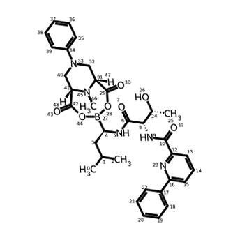 CC(C)C[C@H](NC(=O)[C@@H](NC(=O)c1cccc(-c2ccccc2)n1)[C@@H](C)O)B1OC(=O)[C@H]2CN(c3ccccc3)C[C@@H](C(=O)O1)N2C